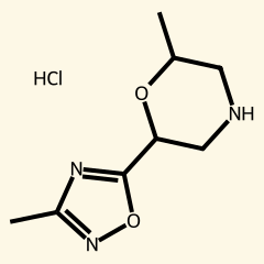 Cc1noc(C2CNCC(C)O2)n1.Cl